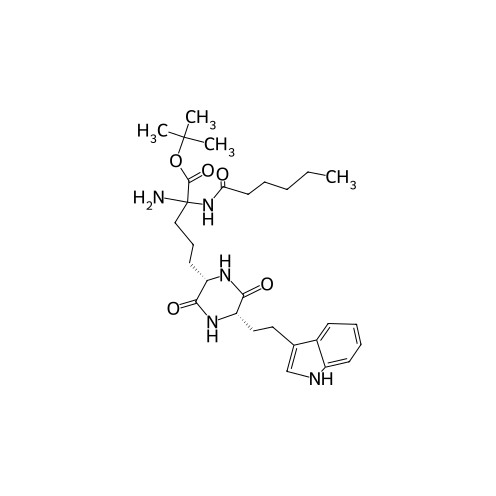 CCCCCC(=O)NC(N)(CCC[C@@H]1NC(=O)[C@H](CCc2c[nH]c3ccccc23)NC1=O)C(=O)OC(C)(C)C